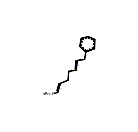 CCCCC/C=C/CC/C=C/Cc1ccccc1